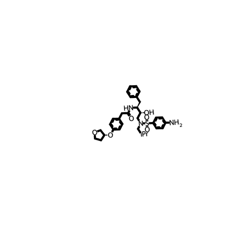 CC(C)CN(C[C@@H](O)[C@H](Cc1ccccc1)NC(=O)Cc1ccc(O[C@@H]2CCOC2)cc1)S(=O)(=O)c1ccc(N)cc1